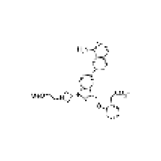 COCCN1CC(n2nc(COc3ccccc3CC(=O)O)c3cc(-c4ccc5ccnc(N)c5c4)ccc32)C1